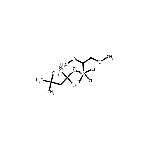 COC[CH](OC)[Nb]([Cl])([Cl])([Cl])[NH]C(C)(C)CC(C)(C)C